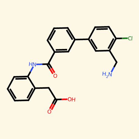 NCc1cc(-c2cccc(C(=O)Nc3ccccc3CC(=O)O)c2)ccc1Cl